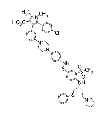 Cc1c(C(=O)O)c(-c2cccc(N3CCN(c4ccc(NSc5ccc(N[C@H](CCN6CCCC6)CSc6ccccc6)c(S(=O)(=O)C(F)(F)F)c5)cc4)CC3)c2)c(-c2ccc(Cl)cc2)n1C